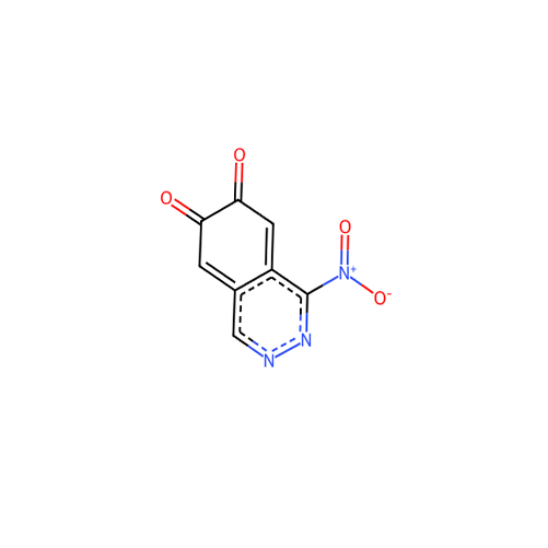 O=C1C=c2cnnc([N+](=O)[O-])c2=CC1=O